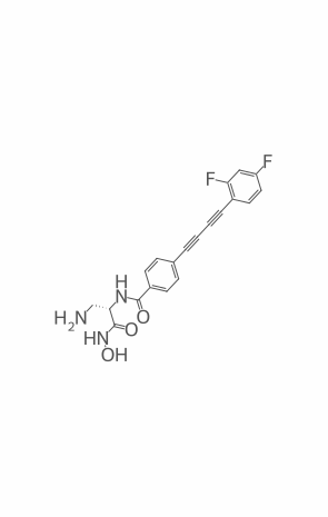 NC[C@H](NC(=O)c1ccc(C#CC#Cc2ccc(F)cc2F)cc1)C(=O)NO